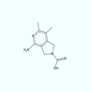 Cc1nc(N)c2c(c1C)CN(C(=O)O)C2